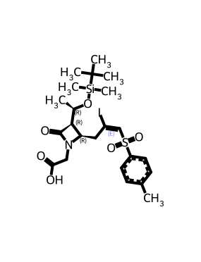 Cc1ccc(S(=O)(=O)/C=C(/I)C[C@@H]2[C@H]([C@@H](C)O[Si](C)(C)C(C)(C)C)C(=O)N2CC(=O)O)cc1